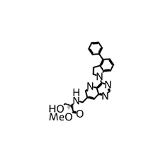 COC(=O)[C@@H](CO)NCc1cnc2c(N3CCc4c(-c5ccccc5)cccc43)ncnc2c1